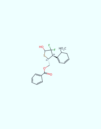 O=C(OC[C@@H]1SC(O)C(F)(F)[C@H]1C1=CC=CCC1C(=O)O)c1ccccc1